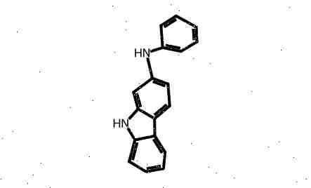 c1ccc(Nc2ccc3c(c2)[nH]c2ccccc23)cc1